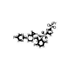 CC(C)S(=O)(=O)c1nc(S(=O)(=O)n2nc(N3CCN(c4ncc(F)cn4)CC34CC4)c3c(F)ccc(F)c32)cs1